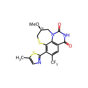 CO[C@@H]1CSc2c(-c3ncc(C)s3)c(C(F)(F)F)cc3c(=O)[nH]c(=O)n(c23)C1